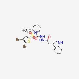 O=C(Cc1c[nH]c2ccccc12)NNC(=O)[N@+]1(S(=O)(=O)c2cc(Br)c(Br)s2)CCCCC1C(=O)O